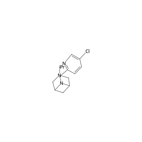 CC(C)N1CC2CC(C1)N2Cc1ccc(Cl)cn1